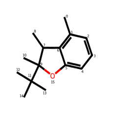 Cc1cccc2c1C(C)C(C)(C(C)(C)C)O2